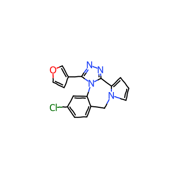 Clc1ccc2c(c1)-n1c(-c3ccoc3)nnc1-c1cccn1C2